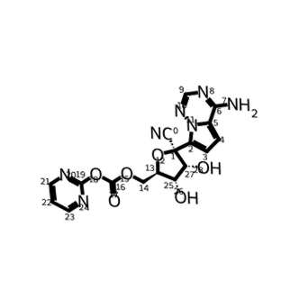 N#C[C@@]1(c2ccc3c(N)ncnn23)O[C@H](COC(=O)Oc2ncccn2)[C@@H](O)[C@H]1O